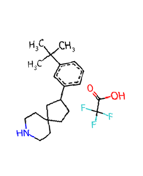 CC(C)(C)c1cccc(C2CCC3(CCNCC3)C2)c1.O=C(O)C(F)(F)F